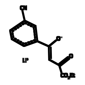 CCOC(=O)C(=O)C=C([O-])c1cccc(C#N)c1.[Li+]